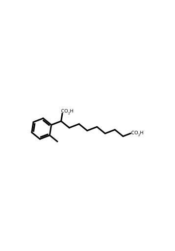 Cc1ccccc1C(CCCCCCCC(=O)O)C(=O)O